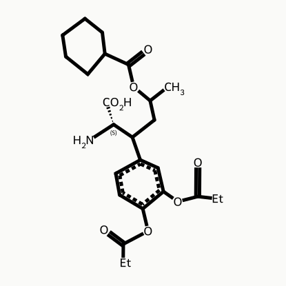 CCC(=O)Oc1ccc(C(CC(C)OC(=O)C2CCCCC2)[C@H](N)C(=O)O)cc1OC(=O)CC